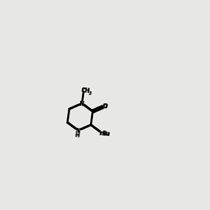 CCCCC1NCCN(C)C1=O